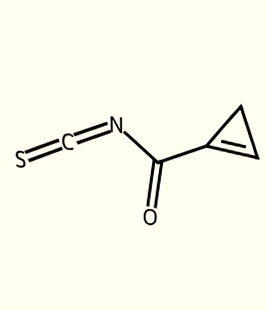 O=C(N=C=S)C1=CC1